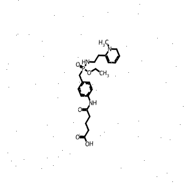 CCOP(=O)(Cc1ccc(NC(=O)CCCC(=O)O)cc1)NCCC1=CC=CCN1C